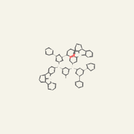 Clc1cc(N(c2cc(-c3ccccc3)cc(-c3ccccc3)c2)c2ccc3c4cccc5c6ccccc6n(c3c2)c54)cc(N(c2cc(-c3ccccc3)cc(-c3ccccc3)c2)c2ccc3c4cccc5c6ccccc6n(c3c2)c54)c1